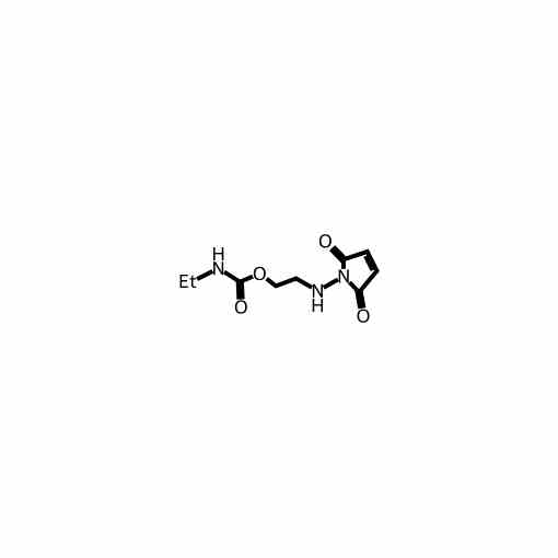 CCNC(=O)OCCNN1C(=O)C=CC1=O